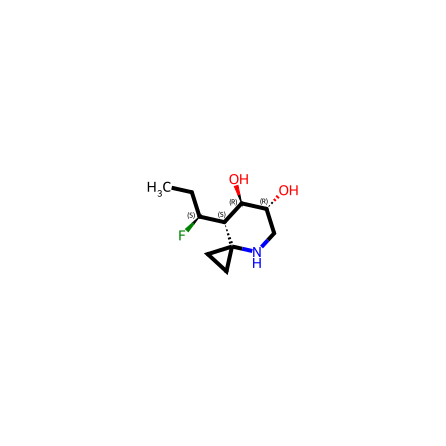 CC[C@H](F)[C@@H]1[C@@H](O)[C@H](O)CNC12CC2